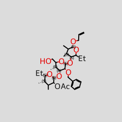 C=CCO[C@@H]1OC(CC)[C@@H](O[C@@H]2OC(CO)[C@@H](C)[C@@H](O[C@H]3O[C@@H](CC)[C@@H](C)C(C)C3OC(C)=O)C2OCc2ccccc2)[C@@H](C)C1C